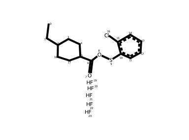 CCC1CCC(C(=O)OSc2ccccc2Cl)CC1.F.F.F.F.F